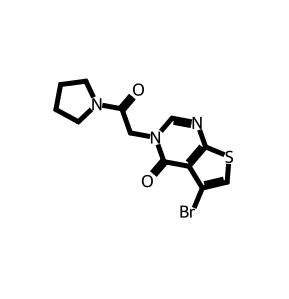 O=C(Cn1cnc2scc(Br)c2c1=O)N1CCCC1